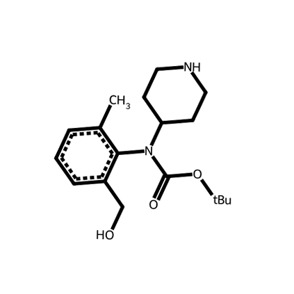 Cc1cccc(CO)c1N(C(=O)OC(C)(C)C)C1CCNCC1